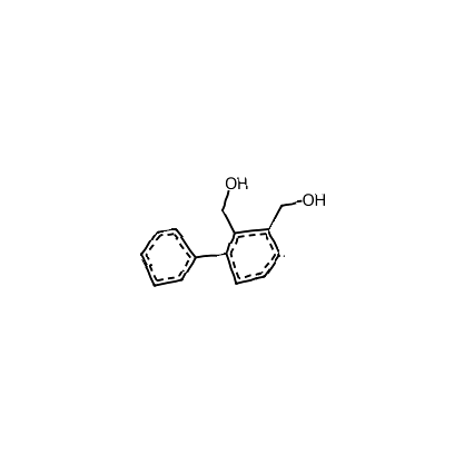 OCc1[c]ccc(-c2ccccc2)c1CO